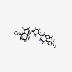 C=C/C=C\C(=C/C)C1CCC(n2ccc3c(Cl)ncnc32)C1